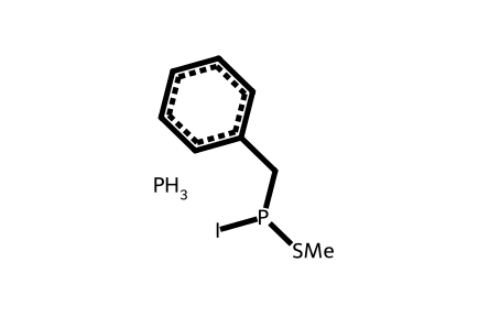 CSP(I)Cc1ccccc1.P